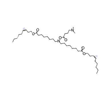 CCCCC/C=C\CCOC(=O)CCCCCCCN(CCCCCCCC(=O)OCC/C=C\CCCCC)OC(=O)CCCN(C)C